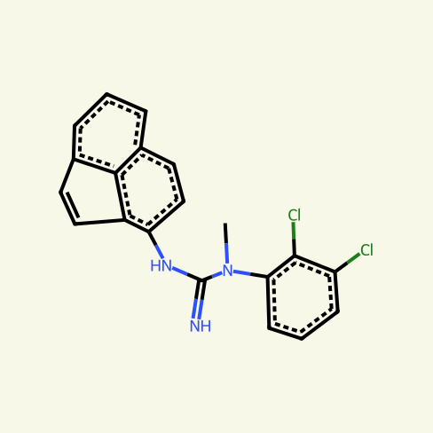 CN(C(=N)Nc1ccc2cccc3c2c1C=C3)c1cccc(Cl)c1Cl